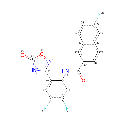 O=C(Nc1cc(F)c(F)cc1-c1noc(=O)[nH]1)c1ccc2cc(F)ccc2c1